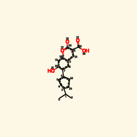 CC(C)c1ccc(-c2cc3cc(C(=O)O)c(=O)oc3cc2O)cc1